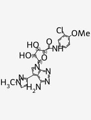 COc1ccc(NC(=O)[C@H]2O[C@@H](n3cc(-c4ccn(C)n4)c4c(N)ncnc43)[C@H](O)[C@@H]2O)cc1Cl